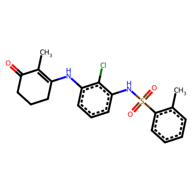 CC1=C(Nc2cccc(NS(=O)(=O)c3ccccc3C)c2Cl)CCCC1=O